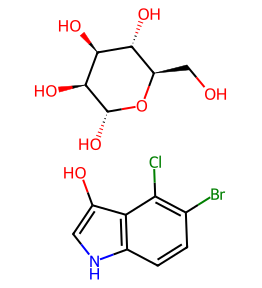 OC[C@H]1O[C@H](O)[C@@H](O)[C@@H](O)[C@@H]1O.Oc1c[nH]c2ccc(Br)c(Cl)c12